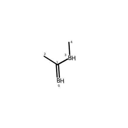 B=C(C)BC